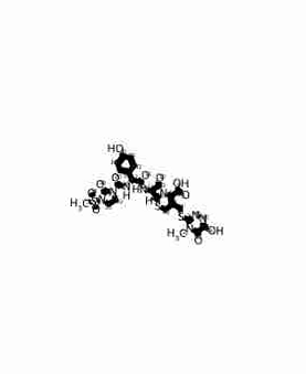 Cn1c(SCC2=C(C(=O)O)N3C(=O)C(NC(=O)C(NC(=O)N4CCN(S(C)(=O)=O)C4=O)c4ccc(O)cc4)[C@@H]3SC2)nnc(O)c1=O